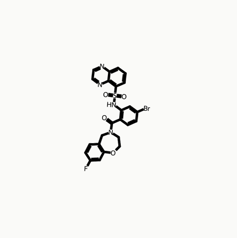 O=C(c1ccc(Br)cc1NS(=O)(=O)c1cccc2nccnc12)N1CCOc2cc(F)ccc2C1